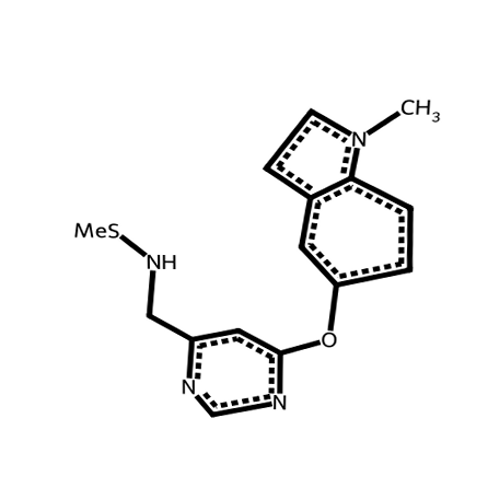 CSNCc1cc(Oc2ccc3c(ccn3C)c2)ncn1